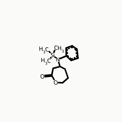 C[Si](C)(C)N(c1ccccc1)C1CCCOC(=O)C1